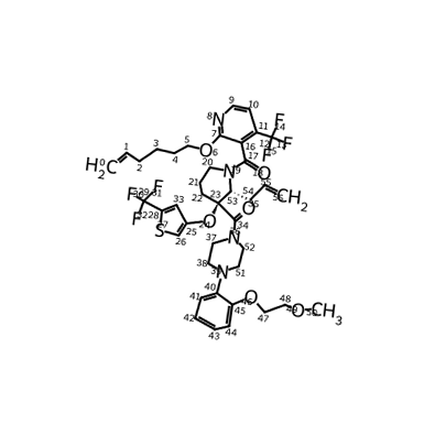 C=CCCCCOc1nccc(C(F)(F)F)c1C(=O)N1CCC[C@@](Oc2csc(C(F)(F)F)c2)(C(=O)N2CCN(c3ccccc3OCCOC)CC2)[C@H]1CC=C